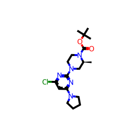 C[C@H]1CN(c2nc(Cl)cc(N3CCCC3)n2)CCN1C(=O)OC(C)(C)C